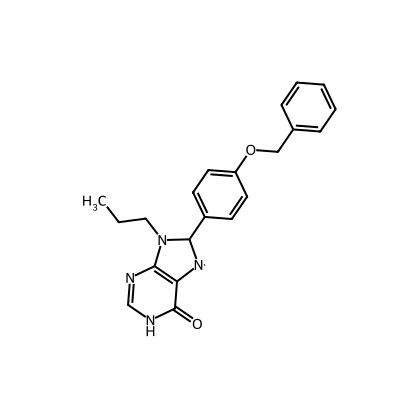 CCCN1c2nc[nH]c(=O)c2[N]C1c1ccc(OCc2ccccc2)cc1